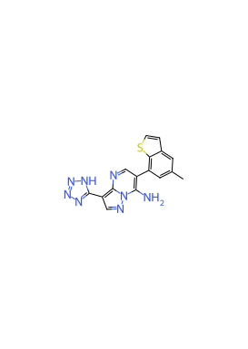 Cc1cc(-c2cnc3c(-c4nnn[nH]4)cnn3c2N)c2sccc2c1